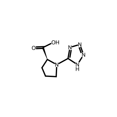 O=C(O)[C@@H]1CCCN1c1nnn[nH]1